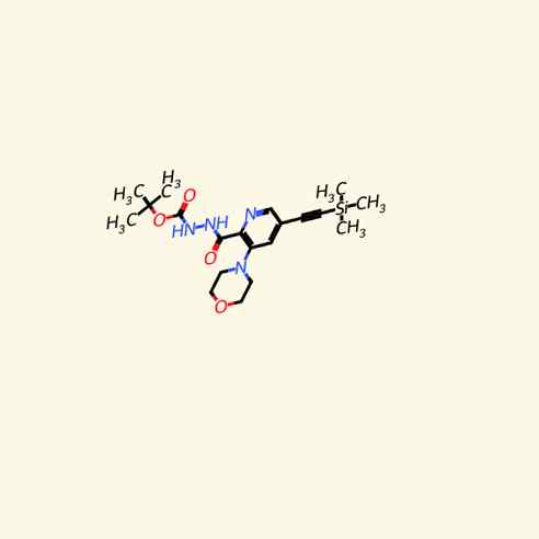 CC(C)(C)OC(=O)NNC(=O)c1ncc(C#C[Si](C)(C)C)cc1N1CCOCC1